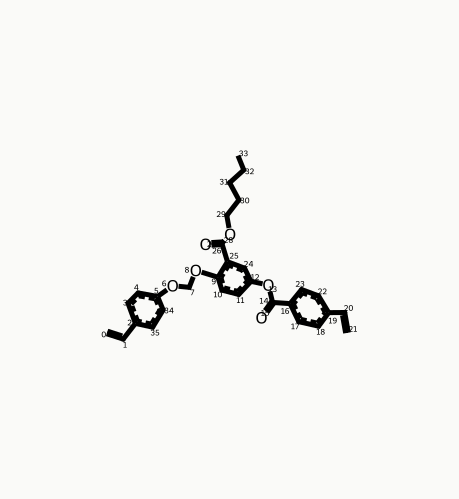 C=Cc1ccc(OCOc2ccc(OC(=O)c3ccc(C=C)cc3)cc2C(=O)OCCCCC)cc1